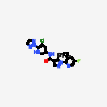 Cc1cc(F)cnc1-n1ncc(C(=O)NC2=CC(Cl)=C(n3nccn3)NC2)c1C(F)(F)F